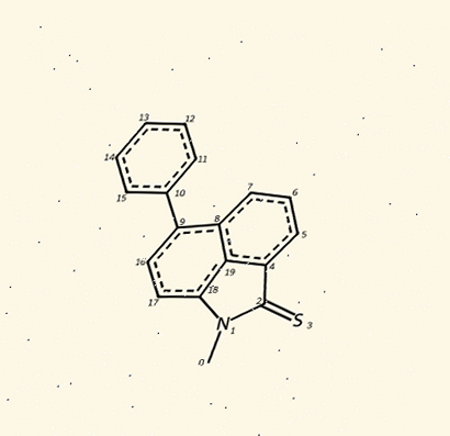 CN1C(=S)c2cccc3c(-c4ccccc4)ccc1c23